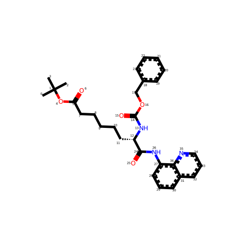 CC(C)(C)OC(=O)CCCCC[C@H](NC(=O)OCc1ccccc1)C(=O)Nc1cccc2cccnc12